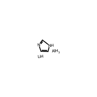 [AlH3].[LiH].c1c[nH]cn1